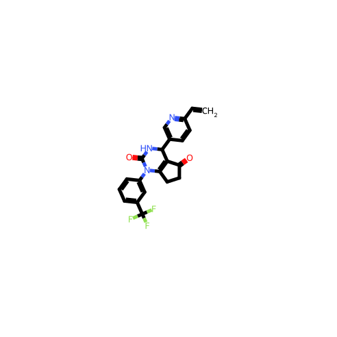 C=Cc1ccc(C2NC(=O)N(c3cccc(C(F)(F)F)c3)C3=C2C(=O)CC3)cn1